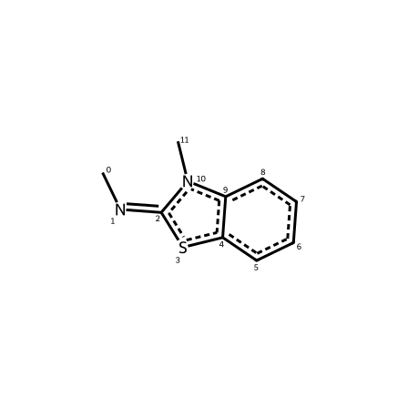 C/N=c1/sc2ccccc2n1C